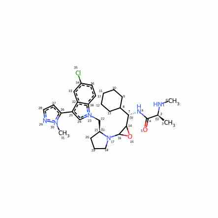 CN[C@@H](C)C(=O)N[C@@H](C1CCCCC1)C1OC1N1CCC[C@H]1Cn1cc(-c2ccnn2C)c2cc(Cl)ccc21